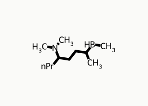 CBC(C)CCC(CCC)N(C)C